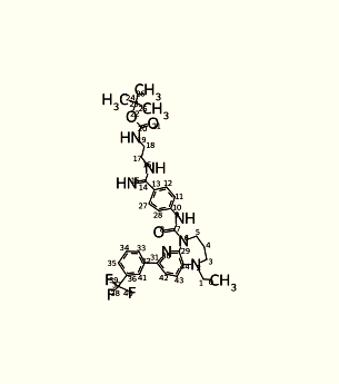 CCN1CCCN(C(=O)Nc2ccc(C(=N)NCCNC(=O)OC(C)(C)C)cc2)c2nc(-c3cccc(C(F)(F)F)c3)ccc21